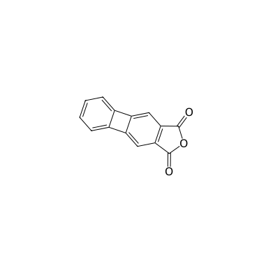 O=c1oc(=O)c2cc3c4ccccc4c3cc12